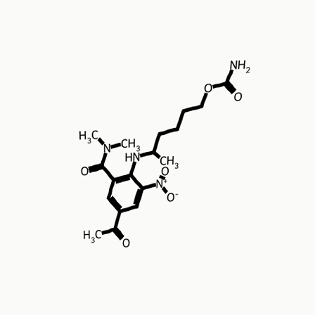 CC(=O)c1cc(C(=O)N(C)C)c(NC(C)CCCCOC(N)=O)c([N+](=O)[O-])c1